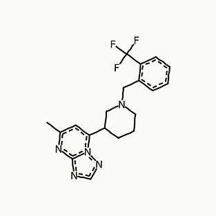 Cc1cc(C2CCCN(Cc3ccccc3C(F)(F)F)C2)n2ncnc2n1